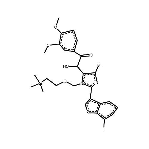 COc1ccc(C(=O)C(O)c2c(Br)nc(-c3csc4c(F)cccc34)n2COCC[Si](C)(C)C)cc1OC